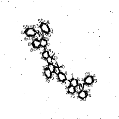 CC1(C)c2cc(-c3ccc(N(c4ccccc4)c4ccccc4)c4ccccc34)ccc2-c2c1c1c(c3ccccc23)-c2ccc(-c3ccc(N(c4ccccc4)c4ccccc4)c4ccccc34)cc2C1(C)C